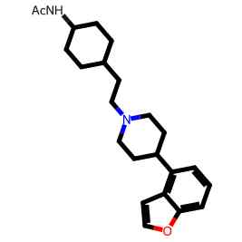 CC(=O)NC1CCC(CCN2CCC(c3cccc4occc34)CC2)CC1